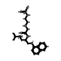 CC(C)NCC(COc1cccc2ccccc12)OC(=O)COCCO[N+](=O)[O-]